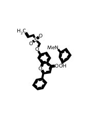 C=CCS(=O)(=O)COc1ccc2c(=O)cc(-c3ccccc3)oc2c1.CNc1cccc(O)c1